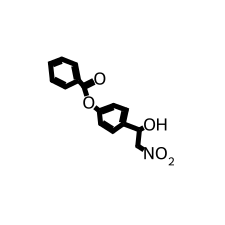 O=C(Oc1ccc(C(O)C[N+](=O)[O-])cc1)c1ccccc1